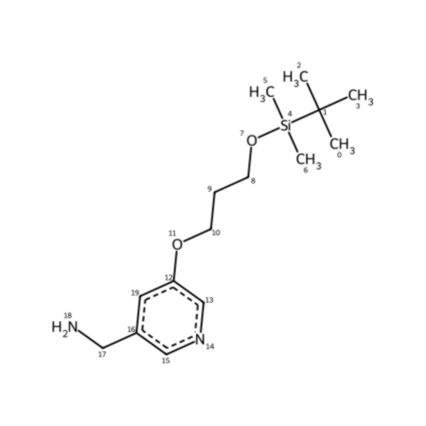 CC(C)(C)[Si](C)(C)OCCCOc1cncc(CN)c1